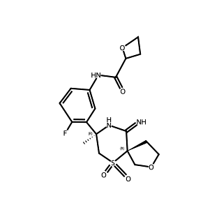 C[C@@]1(c2cc(NC(=O)C3CCO3)ccc2F)CS(=O)(=O)[C@]2(CCOC2)C(=N)N1